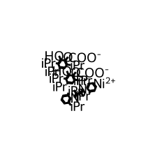 CC(=Nc1c(C(C)C)cccc1C(C)C)C(C)=Nc1c(C(C)C)cccc1C(C)C.CC(C)c1cc(C(C)C)c(C(C)C)c(O)c1OC(=O)[O-].CC(C)c1cc(C(C)C)c(C(C)C)c(O)c1OC(=O)[O-].[Ni+2]